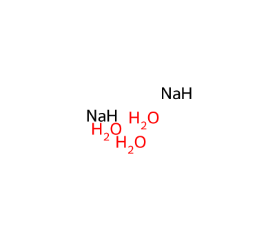 O.O.O.[NaH].[NaH]